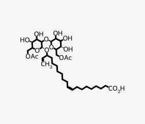 C=CC(CCCCCCC/C=C\CCCCCCCC(=O)O)O[C@@H]1OC(COC(C)=O)[C@@H](O)C(O)C1O[C@@H]1OC(COC(C)=O)[C@@H](O)C(O)C1O